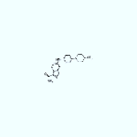 NC(=O)n1ncc2cc(Nc3ccc(N4CCC(C(F)(F)F)CC4)cc3)ccc21